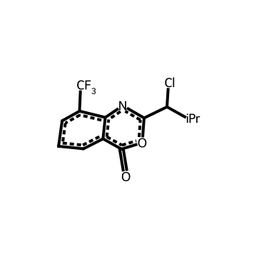 CC(C)C(Cl)c1nc2c(C(F)(F)F)cccc2c(=O)o1